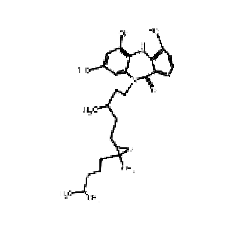 CC(C)CCCC1(C)OC1CCC(C)CCN1C(=O)c2cccc(O)c2Nc2c(O)cc(O)cc21